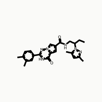 CCC(CNC(=O)c1cc2c(=O)[nH]c(-c3ccc(C)c(C)c3)nn2c1)n1nc(C)cc1C